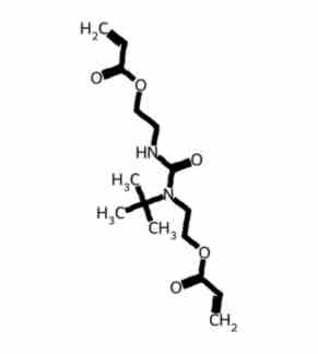 C=CC(=O)OCCNC(=O)N(CCOC(=O)C=C)C(C)(C)C